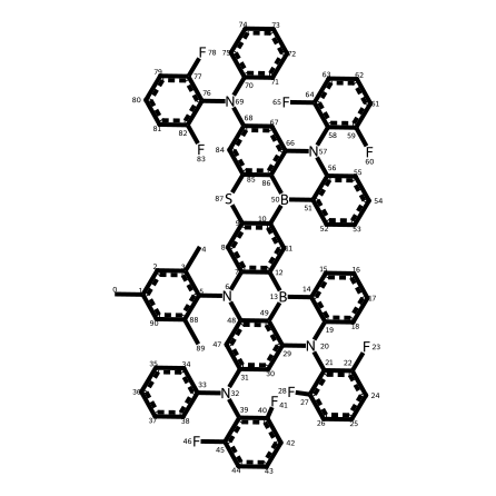 Cc1cc(C)c(N2c3cc4c(cc3B3c5ccccc5N(c5c(F)cccc5F)c5cc(N(c6ccccc6)c6c(F)cccc6F)cc2c53)B2c3ccccc3N(c3c(F)cccc3F)c3cc(N(c5ccccc5)c5c(F)cccc5F)cc(c32)S4)c(C)c1